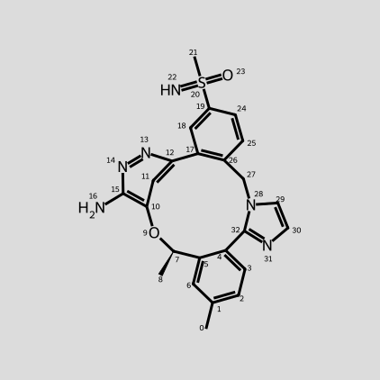 Cc1ccc2c(c1)[C@@H](C)Oc1cc(nnc1N)-c1cc(S(C)(=N)=O)ccc1Cn1ccnc1-2